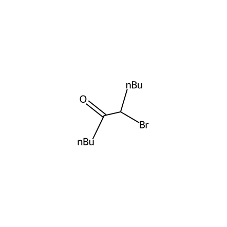 CCCCC(=O)C(Br)CCCC